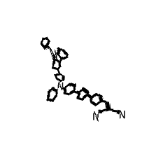 N#CC(C#N)=Cc1ccc(-c2ccc(-c3ccc(N(c4ccccc4)c4ccc(-c5ccc6c(c5)c5ccccc5n6-c5ccccc5)cc4)cc3)cc2)cc1